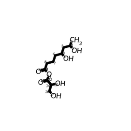 CC(O)CC(O)CCCC(=O)OC(=O)C(O)CO